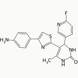 CC1=C(c2nc(-c3ccc(N)cc3)cs2)C(c2ccc(F)nc2)NC(=O)N1